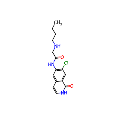 CCCCNCC(=O)Nc1cc2cc[nH]c(=O)c2cc1Cl